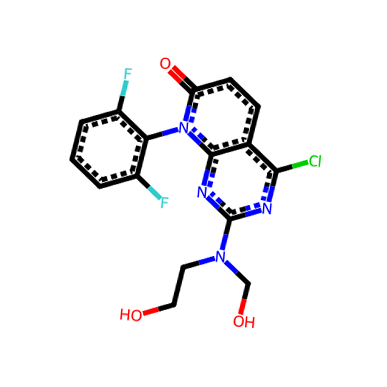 O=c1ccc2c(Cl)nc(N(CO)CCO)nc2n1-c1c(F)cccc1F